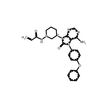 C=CC(=O)NN1CCC[C@@H](n2c(=O)n(-c3ccc(Oc4ccccc4)cc3)c3c(N)ncnc32)C1